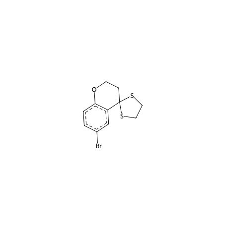 Brc1ccc2c(c1)C1(CCO2)SCCS1